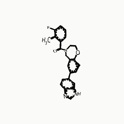 Cc1c(F)cccc1C(=O)N1CCOc2ccc(-c3ccc4nc[nH]c4c3)cc2C1